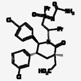 CC(C)C(CS(=O)(=NC(N)=O)C(C)C)N1C(=O)[C@@](C)(CC(=O)O)C[C@H](c2cccc(Cl)c2)[C@H]1c1ccc(Cl)cc1